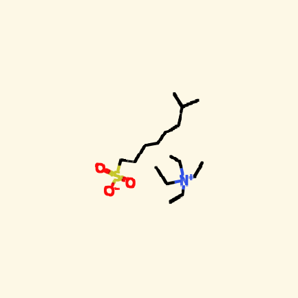 CC(C)CCCCCCS(=O)(=O)[O-].CC[N+](CC)(CC)CC